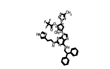 Cc1nnn([C@H]2C[C@@H](n3cnc4c(NCC(c5ccccc5)c5ccccc5)nc(NCCc5c[nH]cn5)nc43)[C@H](O)[C@@H]2OC(=O)C(F)(F)F)n1